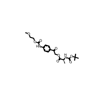 COCCOC(=O)Nc1ccc(C(=O)COC(=O)[C@H](C)NC(=O)OC(C)(C)C)cc1